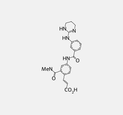 CNC(=O)c1cc(NC(=O)c2cccc(NC3=NCCCN3)c2)ccc1C=CC(=O)O